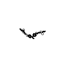 CC=CC(=O)OCCCOc1ccc(C(CC)c2ccc(OCCCOC(=O)C=CC)cc2)cc1